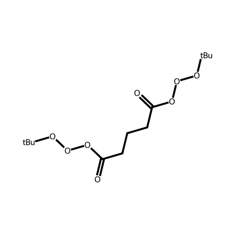 CC(C)(C)OOOC(=O)CCCC(=O)OOOC(C)(C)C